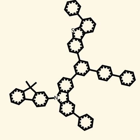 CC1(C)c2ccccc2-c2ccc(-n3c4ccc(-c5ccccc5)cc4c4cc(-c5cc(-c6ccc(-c7ccccc7)cc6)cc(-c6ccc7sc8c(-c9ccccc9)cccc8c7c6)c5)ccc43)cc21